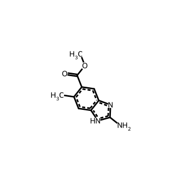 COC(=O)c1cc2nc(N)[nH]c2cc1C